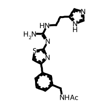 CC(=O)NCc1cccc(-c2csc(/N=C(\N)NCCc3cnc[nH]3)n2)c1